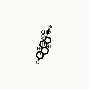 C[C@]12CCC(=O)C=C1CC[C@@H]1[C@@H]2CC[C@@]2(C)[C@H]1CC[C@@]2(C#CBr)OC=O